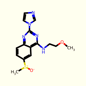 COCCNc1nc(-n2ccnc2)nc2ccc([S+](C)[O-])cc12